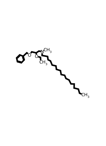 CCCCCCCCCCCCCCCCCCN(C)CC(COCc1ccccc1)OCC